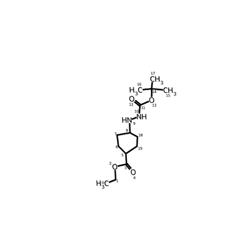 CCOC(=O)C1CCC(NNC(=O)OC(C)(C)C)CC1